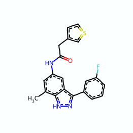 Cc1cc(NC(=O)Cc2ccsc2)cc2c(-c3cccc(F)c3)n[nH]c12